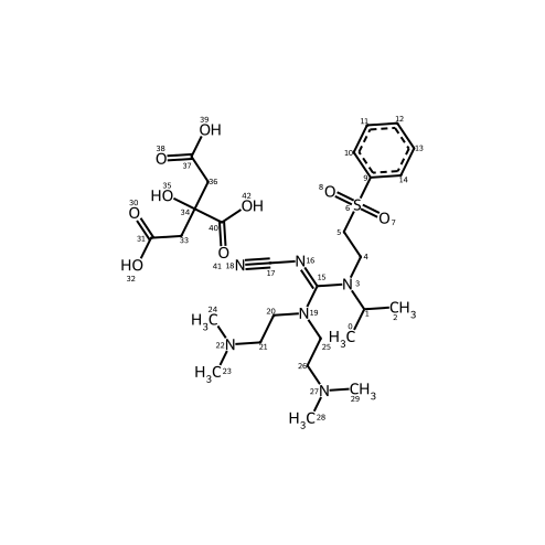 CC(C)N(CCS(=O)(=O)c1ccccc1)C(=NC#N)N(CCN(C)C)CCN(C)C.O=C(O)CC(O)(CC(=O)O)C(=O)O